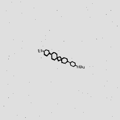 CCCCC1CCC(C2CCC3(CC2)CC2(CCC(C4CCC(CC)CC4)CC2)C3)CC1